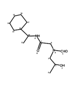 CC(O)CN(C=O)CC(=O)NC(C)C1CCCCC1